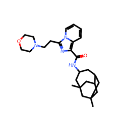 CC12CC(NC(=O)c3nc(CCN4CCOCC4)n4ccccc34)CC3CC(C)(CC3C1)C2